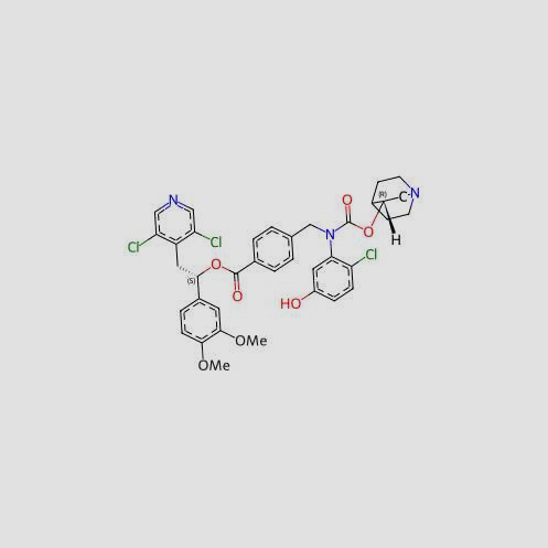 COc1ccc([C@H](Cc2c(Cl)cncc2Cl)OC(=O)c2ccc(CN(C(=O)O[C@H]3CN4CCC3CC4)c3cc(O)ccc3Cl)cc2)cc1OC